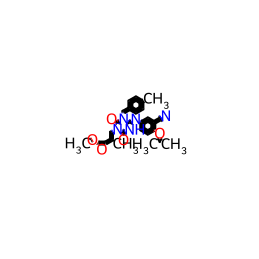 COC1OC1[C@@H](C)Cn1c(=O)[nH]/c(=N\c2ccc(OC(C)C)c(C#N)c2)n(Cc2ccc(C)cc2)c1=O